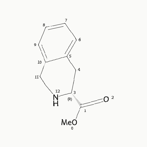 COC(=O)[C@H]1Cc2ccccc2CN1